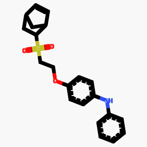 O=S(=O)(CCOc1ccc(Nc2ccccc2)cc1)C1CC2C=CC1C2